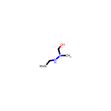 CNCNN(C)CO